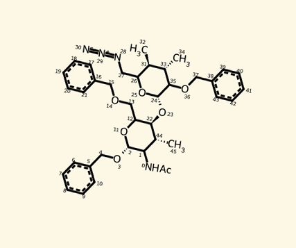 CC(=O)NC1[C@H](OCc2ccccc2)OC(COCc2ccccc2)[C@@H](O[C@@H]2OC(CN=[N+]=[N-])[C@@H](C)[C@H](C)C2OCc2ccccc2)[C@@H]1C